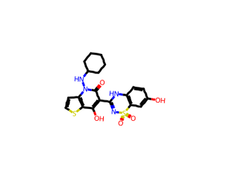 O=c1c(C2=NS(=O)(=O)c3cc(O)ccc3N2)c(O)c2sccc2n1NC1CCCCC1